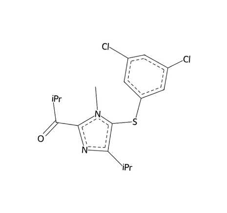 CC(C)C(=O)c1nc(C(C)C)c(Sc2cc(Cl)cc(Cl)c2)n1C